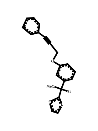 CCC(OC)(c1cccc(OCC#Cc2ccccc2)c1)c1nccs1